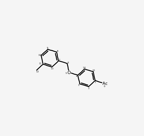 CC(=O)c1ccc(OCc2cccc(C)c2)cc1